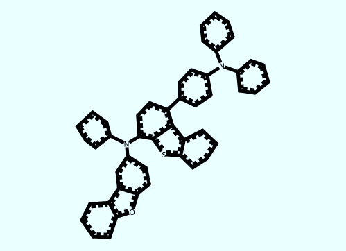 c1ccc(N(c2ccccc2)c2ccc(-c3ccc(N(c4ccccc4)c4ccc5oc6ccccc6c5c4)c4sc5ccccc5c34)cc2)cc1